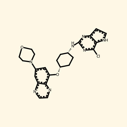 Clc1nc(N[C@H]2CC[C@@H](Oc3cc(N4CCOCC4)cc4nccnc34)CC2)nc2cc[nH]c12